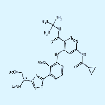 BC(B)(B)NC(=O)c1nnc(NC(=O)C2CC2)cc1Nc1cccc(-c2nc([C@H](COC(C)=O)NC(C)=O)no2)c1OC